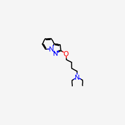 CCN(CC)CCCCOc1cc2ccccn2n1